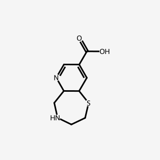 O=C(O)C1=CC2SCCNCC2N=C1